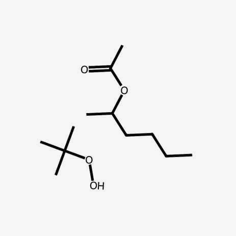 CC(C)(C)OO.CCCCC(C)OC(C)=O